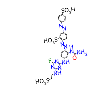 NC(=O)Nc1cc(Nc2nc(F)nc(NCCS(=O)(=O)O)n2)ccc1/N=N/c1ccc(/N=N/c2ccc(S(=O)(=O)O)cc2)cc1S(=O)(=O)O